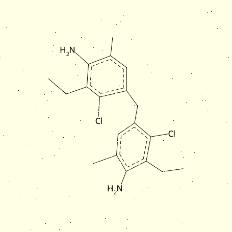 CCc1c(N)c(C)cc(Cc2cc(C)c(N)c(CC)c2Cl)c1Cl